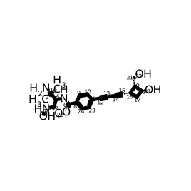 CC(C)(N)C(NC(=O)c1ccc(C#CC#C[C@H]2C[C@@H](O)[C@H]2CO)cc1)C(=O)NO